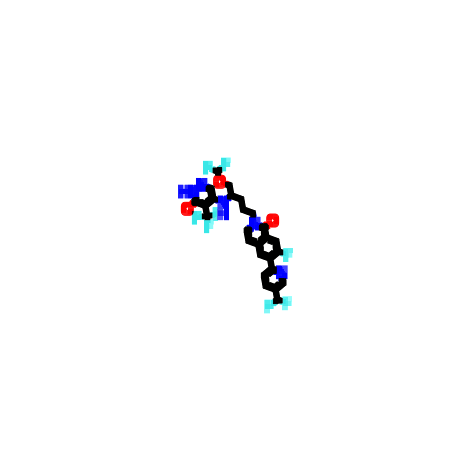 O=c1[nH]ncc(NC(CCCn2ccc3cc(-c4ccc(C(F)F)cn4)c(F)cc3c2=O)COC(F)F)c1C(F)(F)F